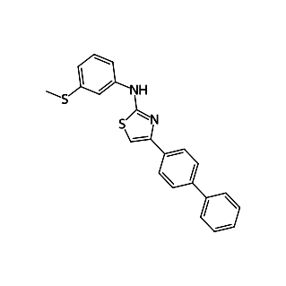 CSc1cccc(Nc2nc(-c3ccc(-c4ccccc4)cc3)cs2)c1